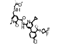 CO[C@@H](C)CNCc1cc(C(=O)Nc2cc(-c3ccc(Cl)cc3C(=O)N3CC(F)(F)C3)cc(C3CC3)n2)c(=O)n(C)c1